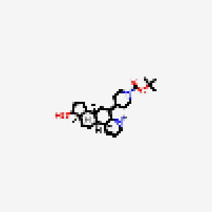 CN1CC=C[C@@]2(C)C1C(=C1CCN(C(=O)OC(C)(C)C)CC1)C[C@@H]1[C@H]2CC[C@]2(C)C(O)CC[C@@H]12